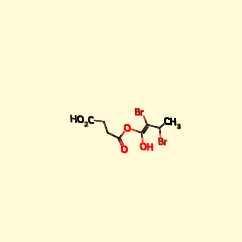 CC(Br)C(Br)=C(O)OC(=O)CCC(=O)O